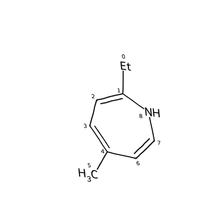 CCC1=CC=C(C)C=CN1